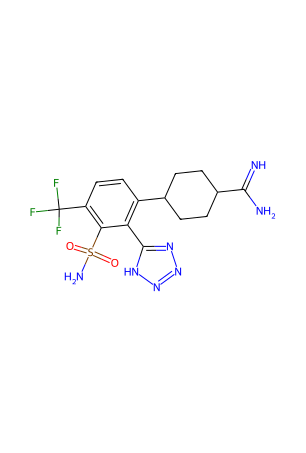 N=C(N)C1CCC(c2ccc(C(F)(F)F)c(S(N)(=O)=O)c2-c2nnn[nH]2)CC1